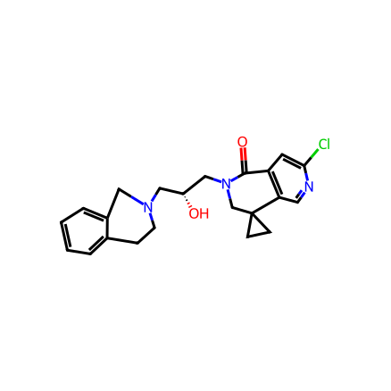 O=C1c2cc(Cl)ncc2C2(CC2)CN1C[C@H](O)CN1CCc2ccccc2C1